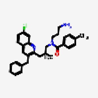 Cc1ccc(C(=O)N(CCCN)CC(C)Cc2nc3cc(Cl)ccc3cc2Cc2ccccc2)cc1